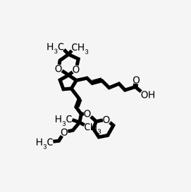 CCOCC(C)(C)C(C=CC1CCC2(OCC(C)(C)CO2)C1CC=CCCCC(=O)O)OC1CCCCO1